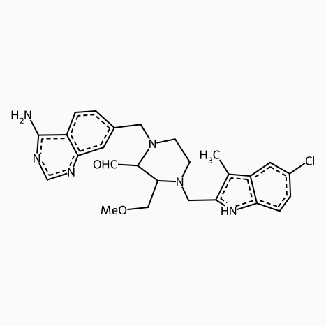 COCC1C(C=O)N(Cc2ccc3c(N)ncnc3c2)CCN1Cc1[nH]c2ccc(Cl)cc2c1C